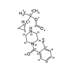 C1CC1.CC(C)(C)OC=O.O=C(c1ccccc1F)N1CCNCC1